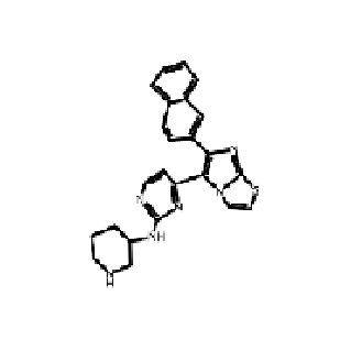 c1ccc2cc(-c3nc4sccn4c3-c3ccnc(NC4CCCNC4)n3)ccc2c1